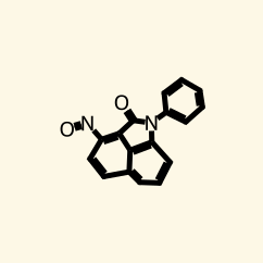 O=Nc1ccc2cccc3c2c1C(=O)N3c1ccccc1